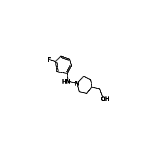 OCC1CCN(Nc2cccc(F)c2)CC1